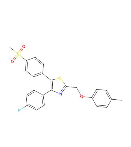 Cc1ccc(OCc2nc(-c3ccc(F)cc3)c(-c3ccc(S(C)(=O)=O)cc3)s2)cc1